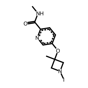 CNC(=O)c1ccc(OC2(C)CN(I)C2)cn1